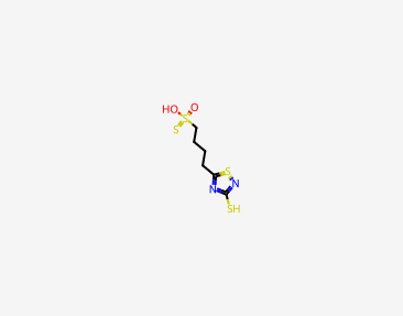 O=S(O)(=S)CCCCc1nc(S)ns1